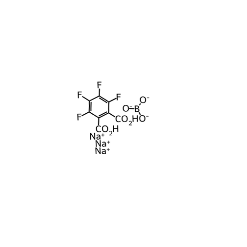 O=C(O)c1c(F)c(F)c(F)c(F)c1C(=O)O.[Na+].[Na+].[Na+].[O-]B([O-])[O-]